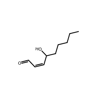 CCCCCC(O)/C=C\C=O